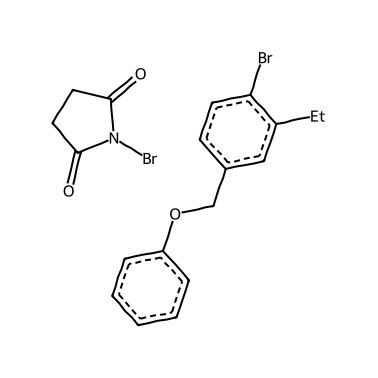 CCc1cc(COc2ccccc2)ccc1Br.O=C1CCC(=O)N1Br